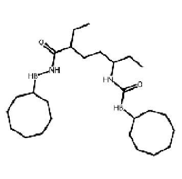 CCC(CCC(CC)C(=O)NBC1CCCCCCC1)NC(=O)BC1CCCCCCC1